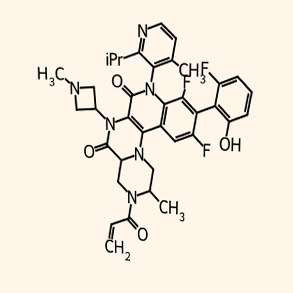 C=CC(=O)N1CC2C(=O)N(C3CN(C)C3)c3c(c4cc(F)c(-c5c(O)cccc5F)c(F)c4n(-c4c(C)ccnc4C(C)C)c3=O)N2CC1C